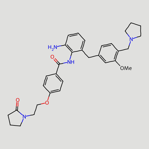 COc1cc(Cc2cccc(N)c2NC(=O)c2ccc(OCCN3CCCC3=O)cc2)ccc1CN1CCCC1